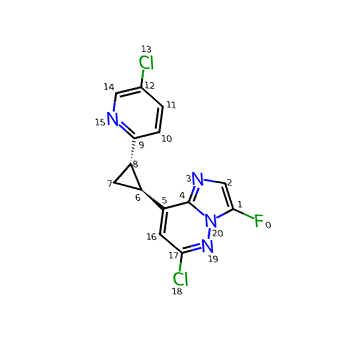 Fc1cnc2c([C@H]3C[C@@H]3c3ccc(Cl)cn3)cc(Cl)nn12